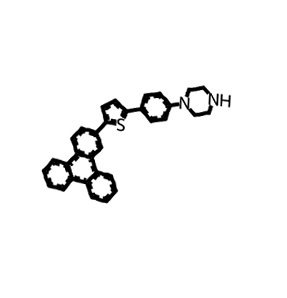 c1ccc2c(c1)c1ccccc1c1cc(-c3ccc(-c4ccc(N5CCNCC5)cc4)s3)ccc21